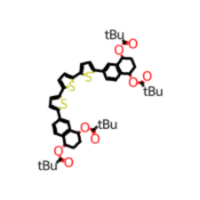 CC(C)(C)C(=O)OC1CCC(OC(=O)C(C)(C)C)c2cc(-c3ccc(-c4ccc(-c5ccc(-c6ccc7c(c6)C(OC(=O)C(C)(C)C)CCC7OC(=O)C(C)(C)C)s5)s4)s3)ccc21